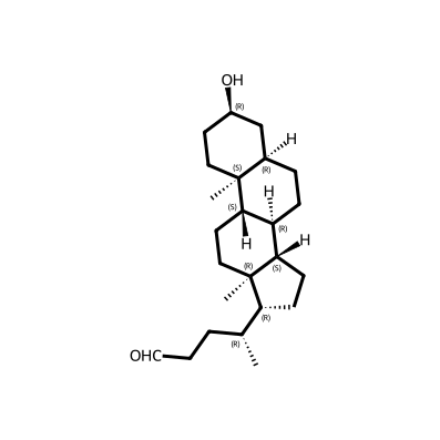 C[C@H](CCC=O)[C@H]1CC[C@H]2[C@@H]3CC[C@@H]4C[C@H](O)CC[C@]4(C)[C@H]3CC[C@]12C